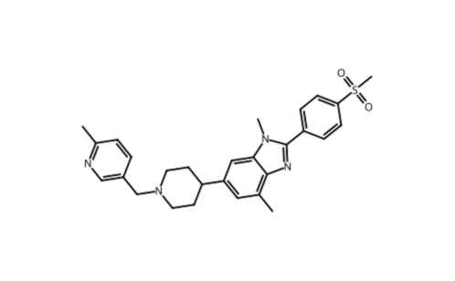 Cc1ccc(CN2CCC(c3cc(C)c4nc(-c5ccc(S(C)(=O)=O)cc5)n(C)c4c3)CC2)cn1